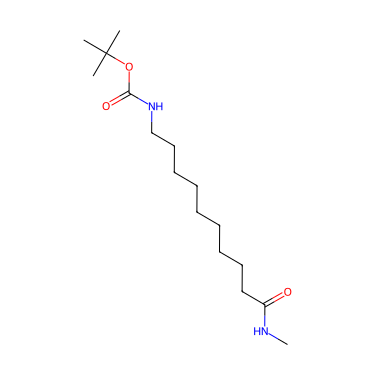 CNC(=O)CCCCCCCCCNC(=O)OC(C)(C)C